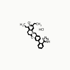 CCc1cc2c(c(CC)[n+]1[O-])CCC(=O)N2Cc1ccc(-c2ccccc2-c2nnn[nH]2)cc1.Cl